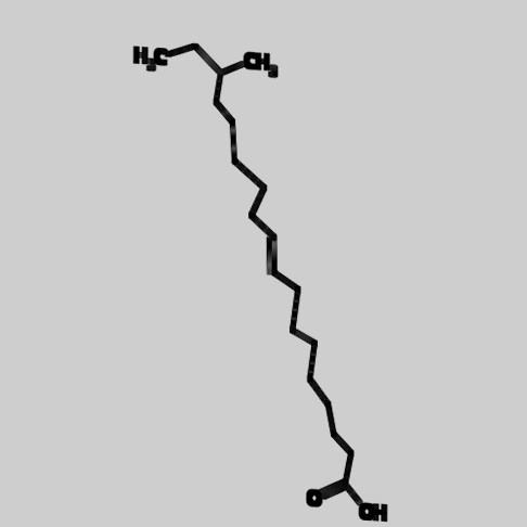 CCC(C)CCCCCC=CCCCCCCCC(=O)O